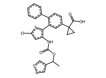 CC(OC(=O)Nc1cc(Cl)sc1-c1cc(C2(C(=O)O)CC2)ccc1-c1ccccc1)c1cnsc1